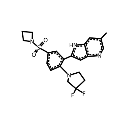 Cc1cnc2cc(-c3cc(S(=O)(=O)N4CCC4)ccc3N3CCC(F)(F)C3)[nH]c2c1